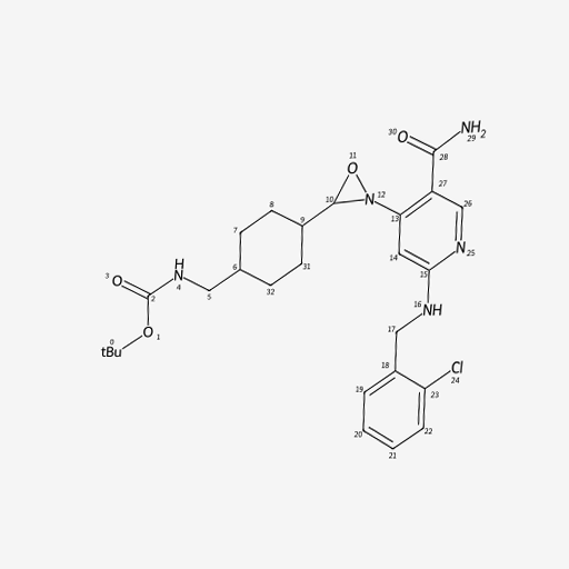 CC(C)(C)OC(=O)NCC1CCC(C2ON2c2cc(NCc3ccccc3Cl)ncc2C(N)=O)CC1